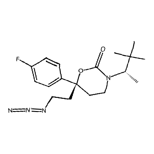 C[C@H](N1CC[C@](CCN=[N+]=[N-])(c2ccc(F)cc2)OC1=O)C(C)(C)C